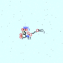 CCN(C(=O)OCCCCO[N+](=O)[O-])[C@H]1CC(C)S(=O)(=O)c2sc(S(N)(=O)=O)cc21